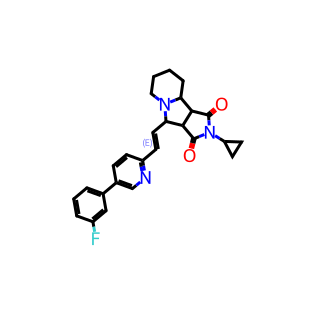 O=C1C2C(C(=O)N1C1CC1)C1CCCCN1C2/C=C/c1ccc(-c2cccc(F)c2)cn1